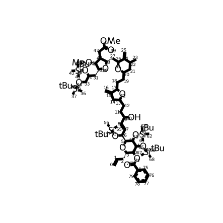 C=CC[C@@H]1O[C@@H](C(/C=C/C(O)CCC2CC(=C)C(CCC3CC(C)C(=C)C(C[C@@H]4O[C@H](CC(CO[Si](C)(C)C(C)(C)C)O[Si](C)(C)C(C)(C)C)[C@H](OC)C4CC(=O)OC)O3)O2)O[Si](C)(C)C(C)(C)C)C(O[Si](C)(C)C(C)(C)C)C(O[Si](C)(C)C(C)(C)C)C1OC(=O)c1ccccc1